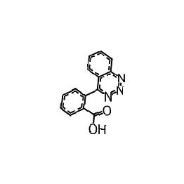 O=C(O)c1ccccc1-c1nnnc2ccccc12